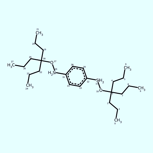 CCCC(CCC)(CCC)O[SiH2]c1ccc([SiH2]OC(CCC)(CCC)CCC)cc1